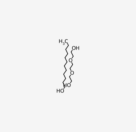 CCCCCCCCCCCCO.OCCOCCOCCO